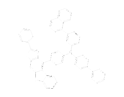 c1ccc(-c2ccc(N(c3ccc(-c4c5nc(-c6ccccc6)oc5cc5oc6ccccc6c45)cc3)c3cccc(-c4cccc5ccccc45)c3)cc2)cc1